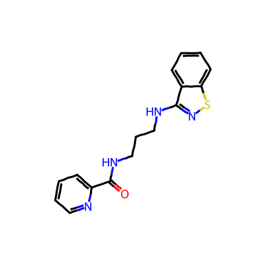 O=C(NCCCNc1nsc2ccccc12)c1ccccn1